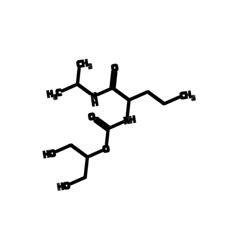 CCCC(NC(=O)OC(CO)CO)C(=O)NC(C)C